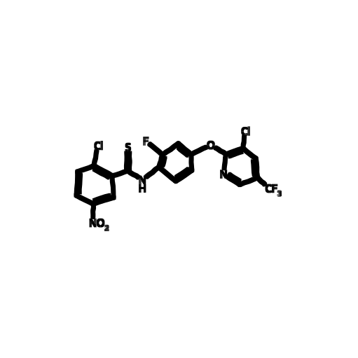 O=[N+]([O-])c1ccc(Cl)c(C(=S)Nc2ccc(Oc3ncc(C(F)(F)F)cc3Cl)cc2F)c1